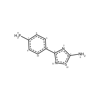 Nc1nc(-c2ccc(P)cc2)ns1